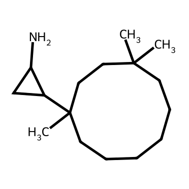 CC1(C)CCCCCCC(C)(C2CC2N)CC1